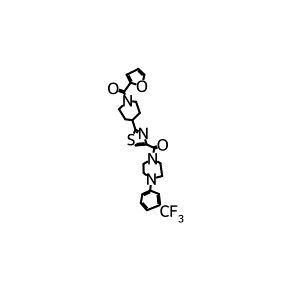 O=C(c1csc(C2CCN(C(=O)c3ccco3)CC2)n1)N1CCN(c2cccc(C(F)(F)F)c2)CC1